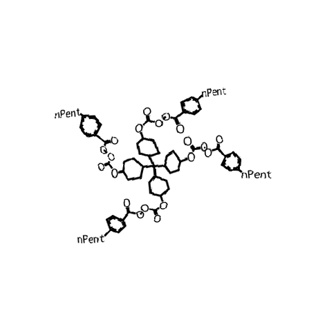 CCCCCc1ccc(C(=O)OOC(=O)OC2CCC(C(C3CCC(OC(=O)OOC(=O)c4ccc(CCCCC)cc4)CC3)(C3CCC(OC(=O)OOC(=O)c4ccc(CCCCC)cc4)CC3)C3CCC(OC(=O)OOC(=O)c4ccc(CCCCC)cc4)CC3)CC2)cc1